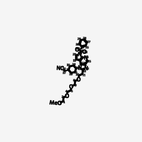 COCCOCCOCCOCCc1nc2cnc3c(ccn3S(=O)(=O)c3ccccc3)c2n1[C@H]1CC[C@H](CC#N)CC1